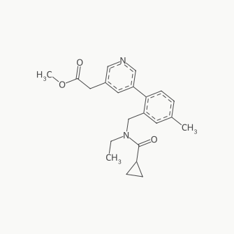 CCN(Cc1cc(C)ccc1-c1cncc(CC(=O)OC)c1)C(=O)C1CC1